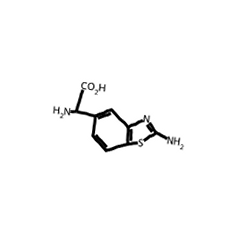 Nc1nc2cc(C(N)C(=O)O)ccc2s1